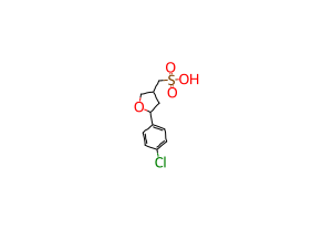 O=S(=O)(O)CC1COC(c2ccc(Cl)cc2)C1